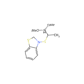 CO[SiH](OC)C(C)SN1CSc2ccccc21